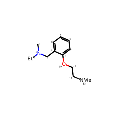 CCN(C)Cc1ccccc1OCCNC